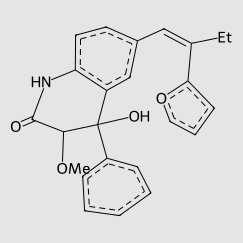 CCC(=Cc1ccc2c(c1)C(O)(c1ccccc1)C(OC)C(=O)N2)c1ccco1